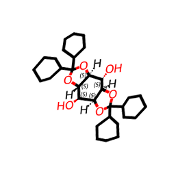 O[C@@H]1[C@H]2OC(C3CCCCC3)(C3CCCCC3)O[C@H]2[C@@H](O)[C@@H]2OC(C3CCCCC3)(C3CCCCC3)O[C@@H]12